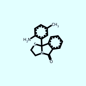 Cc1ccc(N)c(C23SCCN2C(=O)c2ccccc23)c1